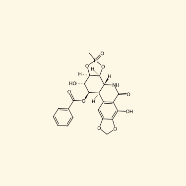 CP1(=O)O[C@@H]2[C@@H](O)[C@H](OC(=O)c3ccccc3)[C@@H]3c4cc5c(c(O)c4C(=O)N[C@H]3[C@@H]2O1)OCO5